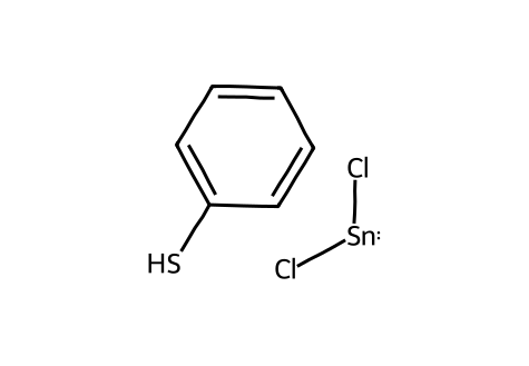 Sc1ccccc1.[Cl][Sn][Cl]